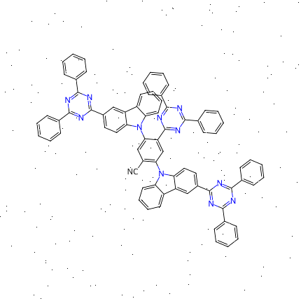 N#Cc1cc(-n2c3ccccc3c3cc(-c4nc(-c5ccccc5)nc(-c5ccccc5)n4)ccc32)c(-c2nc(-c3ccccc3)nc(-c3ccccc3)n2)cc1-n1c2ccccc2c2cc(-c3nc(-c4ccccc4)nc(-c4ccccc4)n3)ccc21